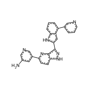 Nc1cncc(-c2ccc3[nH]nc(-c4cc5c(-c6cccnc6)cccc5[nH]4)c3n2)c1